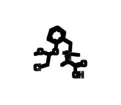 COC(CCl)Oc1ccccc1C[Si](C)(C)N(C)C(=O)O